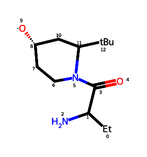 CCC(N)C(=O)N1CC[C@H]([O])CC1C(C)(C)C